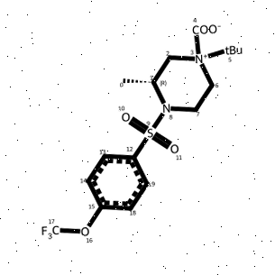 C[C@@H]1C[N+](C(=O)[O-])(C(C)(C)C)CCN1S(=O)(=O)c1ccc(OC(F)(F)F)cc1